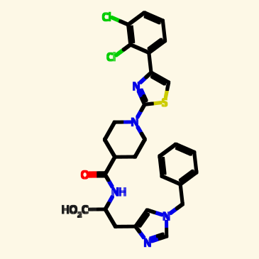 O=C(NC(Cc1cn(Cc2ccccc2)cn1)C(=O)O)C1CCN(c2nc(-c3cccc(Cl)c3Cl)cs2)CC1